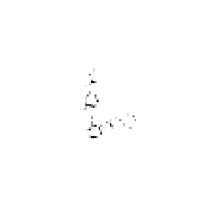 NCC(=O)Nc1ccc(N=Nc2ccccc2OC(=O)CN2CCOCC2)c(N)n1